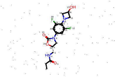 CCC(=O)NC[C@H]1CN(c2cc(F)c(N3CC(O)C3)c(F)c2)C(=O)O1